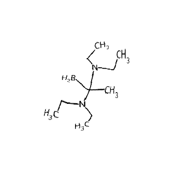 BC(C)(N(CC)CC)N(CC)CC